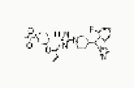 C=C/C(=C\N=C(/N)N1CCC(C2c3c(F)cccc3-c3cncn32)CC1)OC1CCCN(S(C)(=O)=O)C1